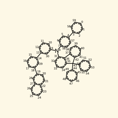 c1ccc(-c2ccc(N(c3cccc(-c4cccc(-c5ccc6ccccc6c5)c4)c3)c3cccc4c3-c3ccccc3C4(c3ccccc3)c3ccccc3)cc2)cc1